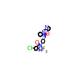 O=C(N[C@H]1CC[C@H](Cn2c(=O)n(Cc3ccccn3)c3ccccc32)CC1)c1cc(Cl)ccc1C(F)(F)F